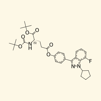 CC(C)(C)OC(=O)N[C@@H](CCC(=O)Oc1ccc(-c2nn(C3CCCC3)c3c(F)cccc23)cc1)C(=O)OC(C)(C)C